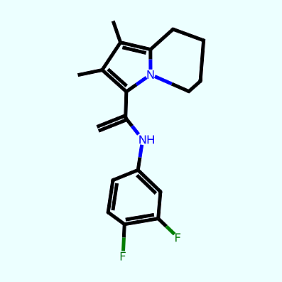 C=C(Nc1ccc(F)c(F)c1)c1c(C)c(C)c2n1CCCC2